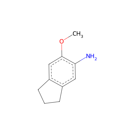 COc1cc2c(cc1N)CCC2